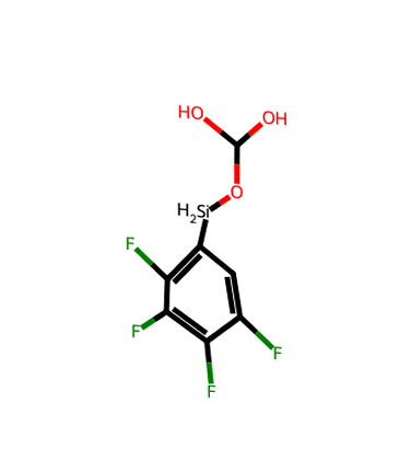 OC(O)O[SiH2]c1cc(F)c(F)c(F)c1F